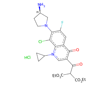 CCOC(=O)C(C(=O)OCC)C(=O)c1cn(C2CC2)c2c(Cl)c(N3CC[C@@H](N)C3)c(F)cc2c1=O.Cl